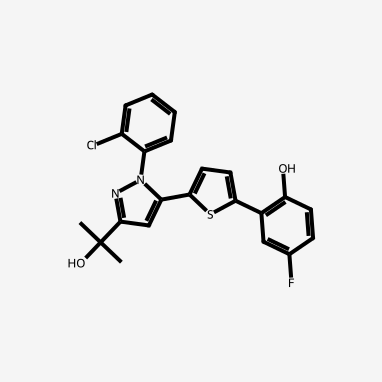 CC(C)(O)c1cc(-c2ccc(-c3cc(F)ccc3O)s2)n(-c2ccccc2Cl)n1